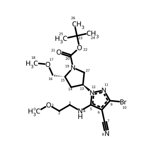 COCCNc1c(C#N)c(Br)nn1[C@H]1C[C@H](COC)N(C(=O)OC(C)(C)C)C1